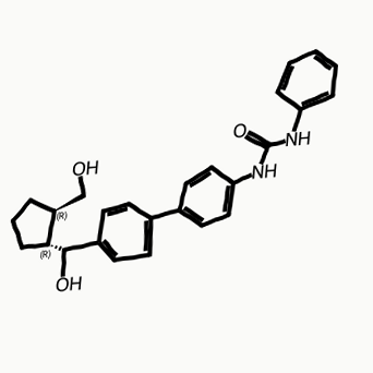 O=C(Nc1ccccc1)Nc1ccc(-c2ccc(C(O)[C@@H]3CCC[C@H]3CO)cc2)cc1